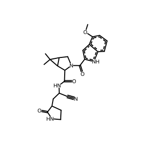 COc1cccc2[nH]c(C(=O)N3CC4C(C3C(=O)NC(C#N)CC3CCNC3=O)C4(C)C)cc12